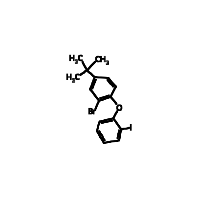 CC(C)(C)c1ccc(Oc2ccccc2I)c(Br)c1